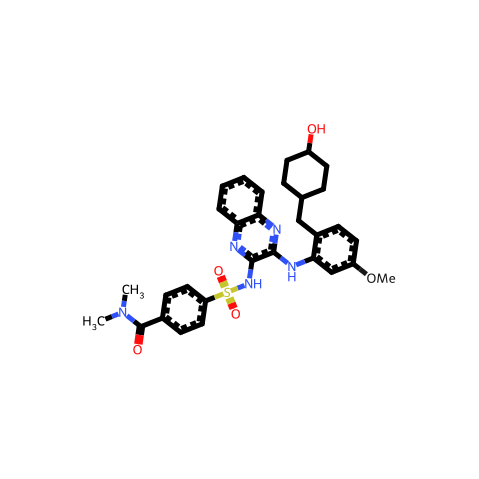 COc1ccc(CC2CCC(O)CC2)c(Nc2nc3ccccc3nc2NS(=O)(=O)c2ccc(C(=O)N(C)C)cc2)c1